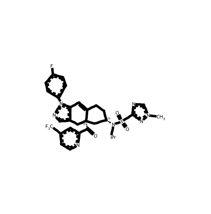 CC(C)N([C@H]1CCC2=Cc3c(cnn3-c3ccc(F)cc3)C[C@]2(C(=O)c2cc(C(F)(F)F)ccn2)C1)S(=O)(=O)c1ncn(C)n1